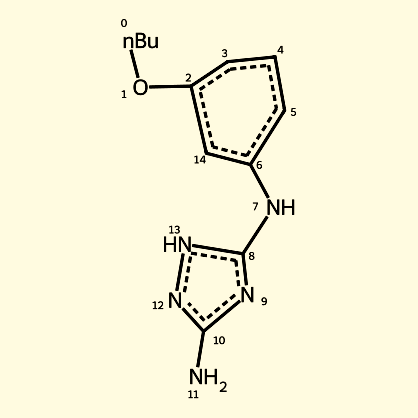 CCCCOc1cccc(Nc2nc(N)n[nH]2)c1